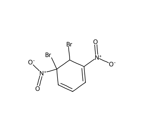 O=[N+]([O-])C1=CC=CC(Br)([N+](=O)[O-])C1Br